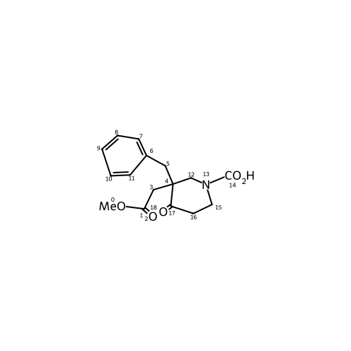 COC(=O)CC1(Cc2ccccc2)CN(C(=O)O)CCC1=O